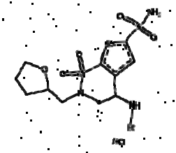 CCNC1CN(CC2CCCO2)S(=O)(=O)c2sc(S(N)(=O)=O)cc21.Cl